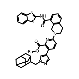 CC(C)(C)OC(=O)c1nc(N2CCc3cccc(C(=O)Nc4nc5ccccc5s4)c3C2)ccc1-c1cnn(CC2C3CC4CC(C3)CC2C4)c1